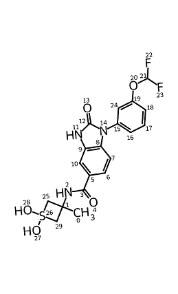 CC1(NC(=O)c2ccc3c(c2)[nH]c(=O)n3-c2cccc(OC(F)F)c2)CS(O)(O)C1